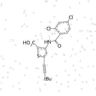 CC(C)(C)C#Cc1cc(NC(=O)c2ccc(Cl)cc2Cl)c(C(=O)O)s1